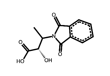 CC([C@H](O)C(=O)O)N1C(=O)c2ccccc2C1=O